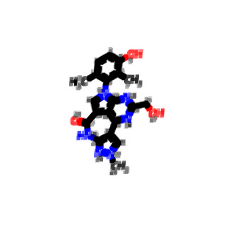 Cc1ccc(O)c(C)c1-n1cc2c3c(nc(CO)nc31)-c1cn(C)nc1NC2=O